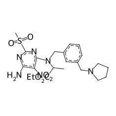 CCOC(=O)C(C)N(Cc1cccc(CN2CCCC2)c1)c1nc(S(C)(=O)=O)nc(N)c1[N+](=O)[O-]